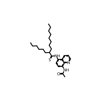 CCCCCCCCC(CCCCCC)C(=S)Nc1ccc(NC(C)=O)c2ncccc12